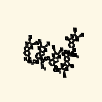 COc1cc2c(cc1OC)-c1nc(C#N)c(C#N)nc1C2=O.COc1ccc(OC)c2c1Cc1nc(C#N)c(C#N)nc1-2.COc1ccc2c(c1)-c1nc(C#N)c(C#N)nc1C2=O.COc1ccc2c(c1OC)Cc1nc(C#N)c(C#N)nc1-2.Cc1ccc2c(c1)-c1nc(C#N)c(C#N)nc1C2